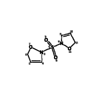 O=S(=O)(N1C=CCO1)N1C=CCO1